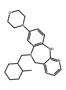 CC1CCCCC1CN1Cc2cccnc2Nc2ccc(N3CCOCC3)cc21